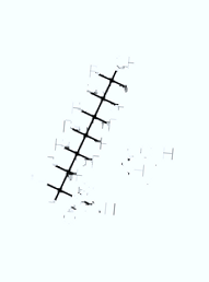 NC(=O)O.NS(=O)(=O)C(F)(F)C(F)(F)C(F)(F)C(F)(F)C(F)(F)C(F)(F)C(F)(F)C(F)(F)F